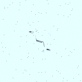 N.O=[PH](O)C=C[PH](=O)O